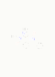 Cc1nc(N(C)C(=O)c2ccccc2)sc1C(=O)NCc1ccccc1